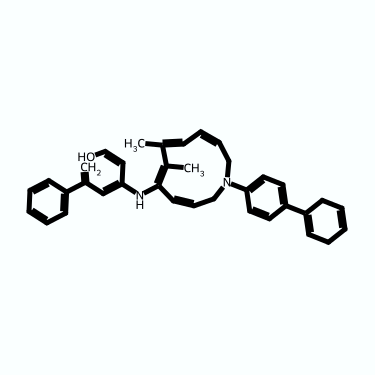 C=C(/C=C(\C=C/O)NC1=C(C)\C(C)=C\C=C/CN(c2ccc(C3=CCC=CC3)cc2)C/C=C\1)c1ccccc1